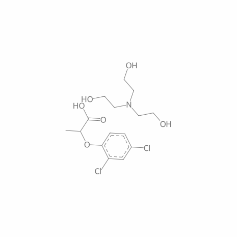 CC(Oc1ccc(Cl)cc1Cl)C(=O)O.OCCN(CCO)CCO